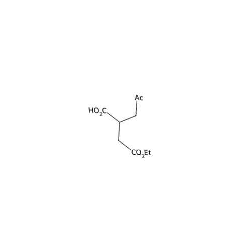 CCOC(=O)CC(CC(C)=O)C(=O)O